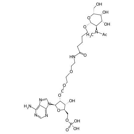 CC(=O)N(C)[C@H]1[C@H](OCCCCC(=O)NCCOCCOCO[C@@H]2[C@H](O)[C@@H](COP(=O)(O)O)O[C@H]2n2cnc3c(N)ncnc32)O[C@H](CO)[C@H](O)[C@@H]1O